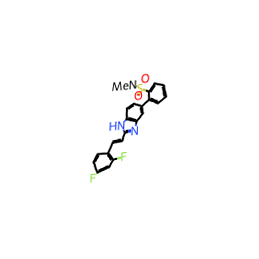 CNS(=O)(=O)c1ccccc1-c1ccc2[nH]c(C=Cc3ccc(F)cc3F)nc2c1